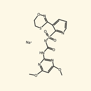 COc1cc(OC)nc(NC(=O)[N-]S(=O)(=O)c2ncccc2C2=NOCCS2)n1.[Na+]